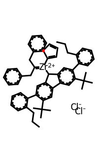 CCCc1ccccc1-c1cc2c(cc1C(C)(C)C)-c1cc(C(C)(C)C)c(-c3ccccc3CCC)cc1[CH]2[Zr+2]([C]1=CC=CC1)=[C](Cc1ccccc1)Cc1ccccc1.[Cl-].[Cl-]